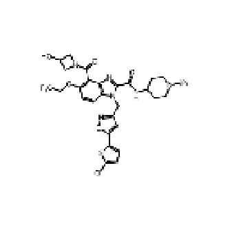 CC(C)N1CCC(NC(=O)c2nc3c(C(=O)N4CC(O)C4)c(OCC(F)(F)F)ccc3n2Cc2cc(-c3ccc(Cl)s3)on2)CC1